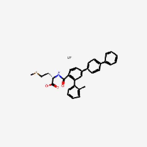 CSCC[C@H](NC(=O)c1ccc(-c2ccc(-c3ccccc3)cc2)cc1-c1ccccc1C)C(=O)[O-].[Li+]